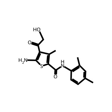 Cc1ccc(NC(=O)c2sc(N)c(C(=O)CO)c2C)c(C)c1